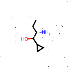 CC[C@H](N)C(O)C1CC1